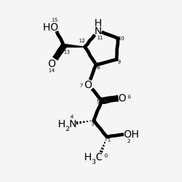 C[C@@H](O)[C@H](N)C(=O)OC1CCN[C@@H]1C(=O)O